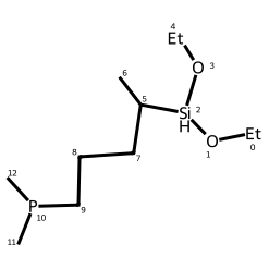 CCO[SiH](OCC)C(C)CCCP(C)C